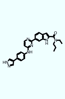 CCCN(CC)C(=O)c1cc2ccc(-c3nccc(Nc4ccc(-c5cn[nH]c5)cc4)n3)cc2[nH]1